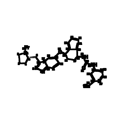 CC(C)N1CCC[C@H]1Cc1nnc2ccc(O[C@@H]3CC[C@H](NC(=O)Nc4cc(C(C)(C)C)ncn4)c4ccccc43)cn12